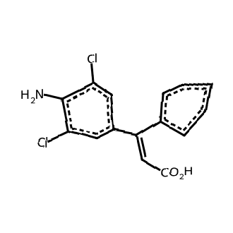 Nc1c(Cl)cc(C(=CC(=O)O)c2ccccc2)cc1Cl